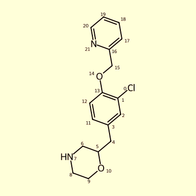 Clc1cc(CC2CNCCO2)ccc1OCc1ccccn1